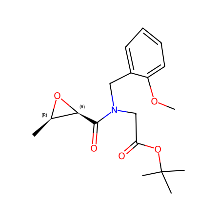 COc1ccccc1CN(CC(=O)OC(C)(C)C)C(=O)[C@@H]1O[C@@H]1C